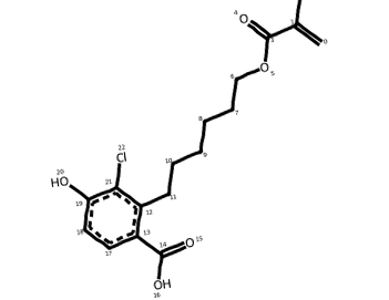 C=C(C)C(=O)OCCCCCCc1c(C(=O)O)ccc(O)c1Cl